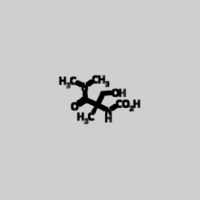 CN(C)C(=O)[C@](C)(CO)NC(=O)O